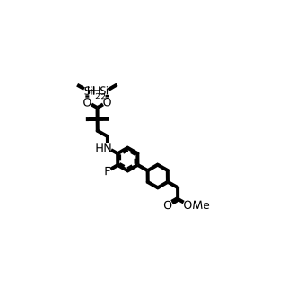 COC(=O)CC1CCC(c2ccc(NCCC(C)(C)C(O[SiH2]C)O[SiH2]C)c(F)c2)CC1